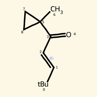 CC(C)(C)/C=C/C(=O)C1(C)CC1